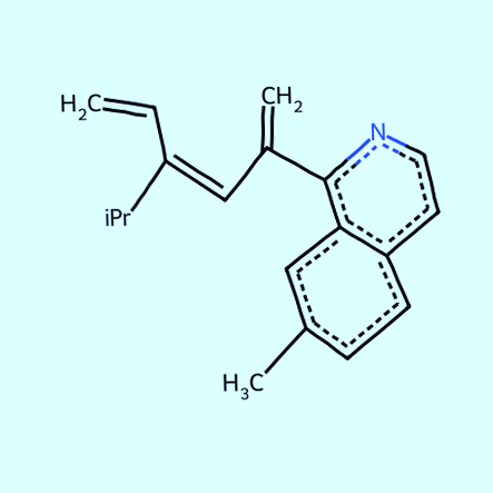 C=C/C(=C\C(=C)c1nccc2ccc(C)cc12)C(C)C